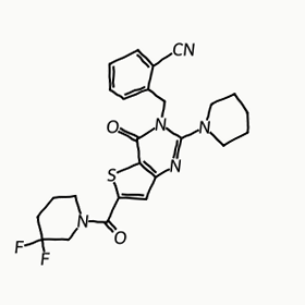 N#Cc1ccccc1Cn1c(N2CCCCC2)nc2cc(C(=O)N3CCCC(F)(F)C3)sc2c1=O